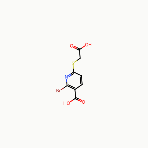 O=C(O)CSc1ccc(C(=O)O)c(Br)n1